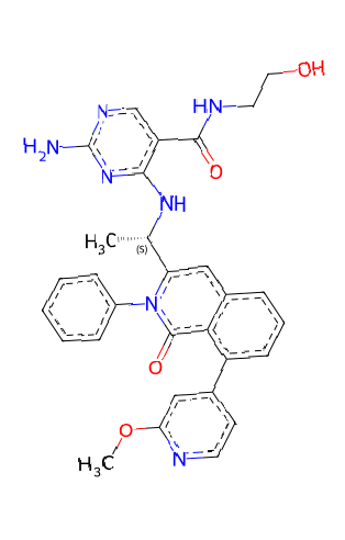 COc1cc(-c2cccc3cc([C@H](C)Nc4nc(N)ncc4C(=O)NCCO)n(-c4ccccc4)c(=O)c23)ccn1